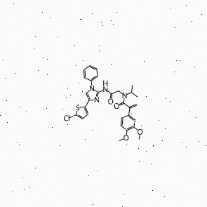 C=C(C(=O)N(CC(=O)Nc1nc(-c2ccc(Cl)s2)cn1-c1ccccc1)C(C)C)c1ccc(OC)c(OC)c1